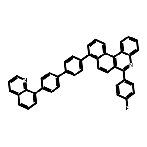 Fc1ccc(-c2nc3ccccc3c3c2ccc2c(-c4ccc(-c5ccc(-c6cccc7cccnc67)cc5)cc4)cccc23)cc1